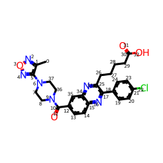 Cc1nonc1N1CCN(C(=O)c2ccc3nc(-c4ccc(Cl)cc4)c(CCCCC(=O)O)nc3c2)CC1